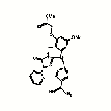 COC(=O)COc1cc(OC)cc(C(Nc2ccc(C(=N)N)cc2)c2nn(-c3ccccn3)c(=O)[nH]2)c1F